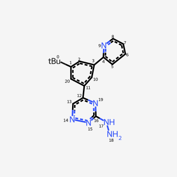 CC(C)(C)c1cc(-c2ccccn2)cc(-c2cnnc(NN)n2)c1